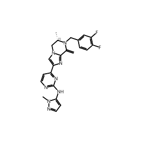 C=C1c2nc(-c3ccnc(Nc4ccnn4C)n3)cn2C[C@H](C)N1Cc1ccc(F)c(F)c1